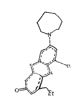 CCc1cc(=O)cc2sc3cc(N4CCCCCC4)cc(CC)c3nc1-2